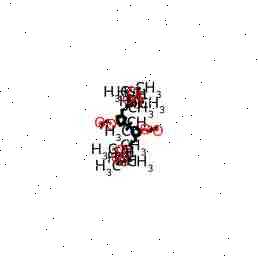 C[SiH]1O[SiH](C)O[Si](C)(CCCc2cc(OCC3CO3)cc(C(C)(C)c3cc(CCC[Si]4(C)O[SiH](C)O[SiH](C)O[SiH](C)O4)cc(OCC4CO4)c3)c2)O[SiH](C)O1